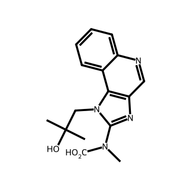 CN(C(=O)O)c1nc2cnc3ccccc3c2n1CC(C)(C)O